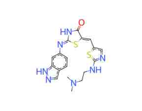 CN(C)CCNc1ncc(/C=C2\SC(=Nc3ccc4cn[nH]c4c3)NC2=O)s1